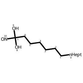 CCCCCCCCCCCCCC(O)(O)N=O